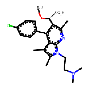 Cc1nc2c(c(C)c(C)n2CCN(C)C)c(-c2ccc(Cl)cc2)c1[C@H](OC(C)(C)C)C(=O)O